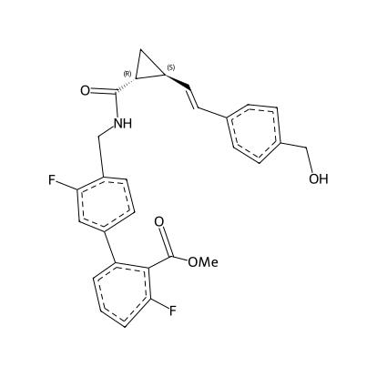 COC(=O)c1c(F)cccc1-c1ccc(CNC(=O)[C@@H]2C[C@H]2C=Cc2ccc(CO)cc2)c(F)c1